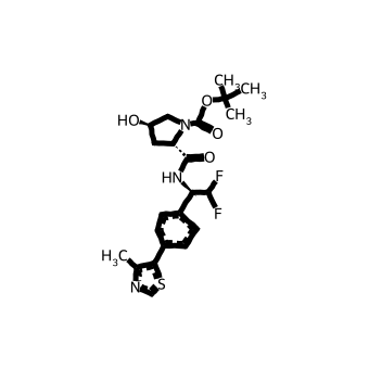 Cc1ncsc1-c1ccc([C@@H](NC(=O)[C@@H]2C[C@@H](O)CN2C(=O)OC(C)(C)C)C(F)F)cc1